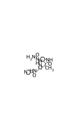 CC(=C1C(=O)Nc2ccc(NC(N)=O)cc21)c1cc(CNC(=O)c2ccncc2)c[nH]1